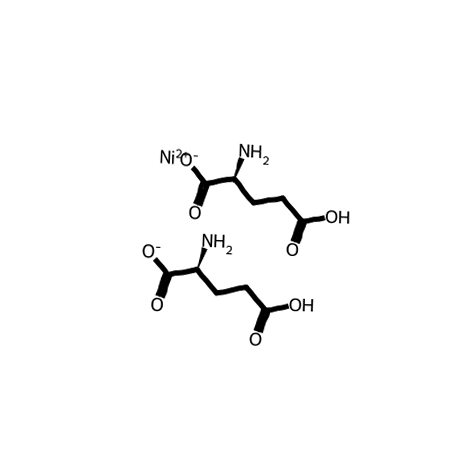 N[C@@H](CCC(=O)O)C(=O)[O-].N[C@@H](CCC(=O)O)C(=O)[O-].[Ni+2]